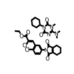 CCOC(=O)/C(Cl)=C/c1cc(N2C(=O)C3=C(CCCC3)C2=O)ccc1Cl.CN(C)c1nc(=O)n(C2CCCCC2)c(=O)n1C